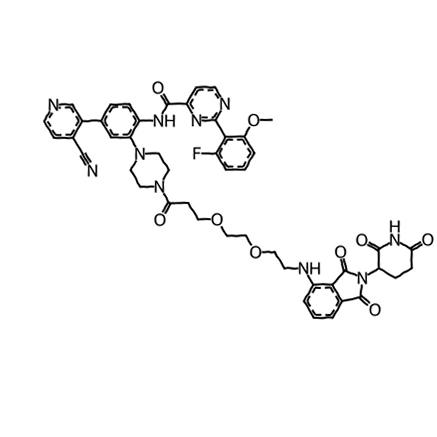 COc1cccc(F)c1-c1nccc(C(=O)Nc2ccc(-c3cnccc3C#N)cc2N2CCN(C(=O)CCOCCOCCNc3cccc4c3C(=O)N(C3CCC(=O)NC3=O)C4=O)CC2)n1